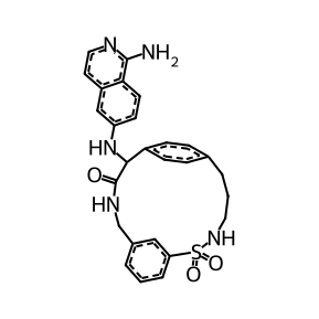 Nc1nccc2cc(NC3C(=O)NCc4cccc(c4)S(=O)(=O)NCCCc4ccc3cc4)ccc12